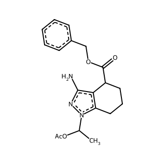 CC(=O)OC(C)n1nc(N)c2c1CCCC2C(=O)OCc1ccccc1